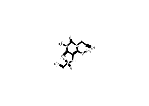 C#CCn1c(OC)c(NS(=O)(=O)C=C)c(=O)n(C)c1=O